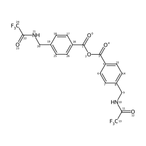 O=C(OC(=O)c1ccc(CNC(=O)C(F)(F)F)cc1)c1ccc(CNC(=O)C(F)(F)F)cc1